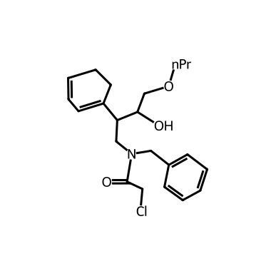 CCCOCC(O)C(CN(Cc1ccccc1)C(=O)CCl)C1=CC=CCC1